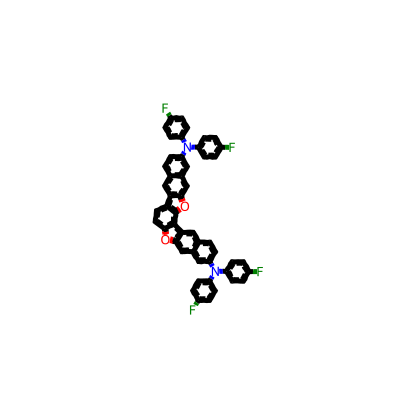 Fc1ccc(N(c2ccc(F)cc2)c2ccc3cc4c(cc3c2)oc2c4ccc3oc4cc5cc(N(c6ccc(F)cc6)c6ccc(F)cc6)ccc5cc4c32)cc1